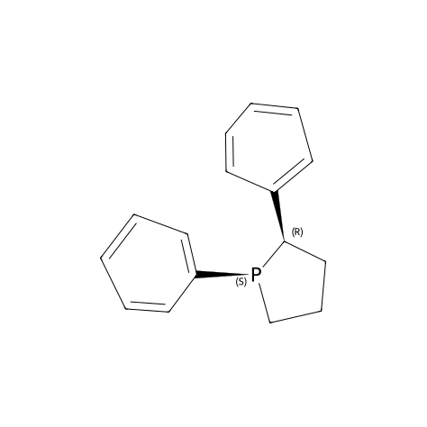 c1ccc([C@H]2CCC[P@@]2c2ccccc2)cc1